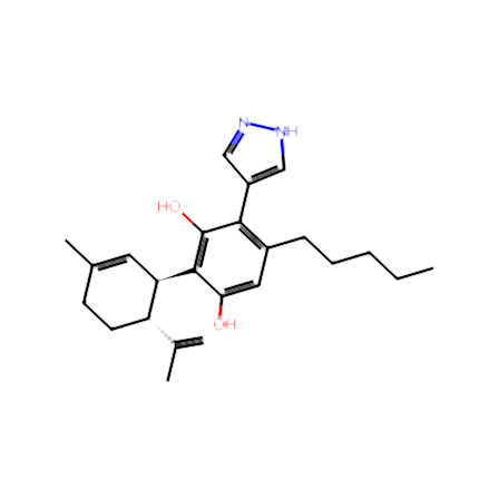 C=C(C)[C@@H]1CCC(C)=C[C@H]1c1c(O)cc(CCCCC)c(-c2cn[nH]c2)c1O